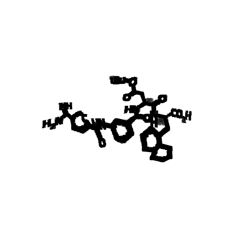 CC(C)(C)OC(=O)C[C@H](NC(=O)c1cccc(NC(=O)c2ccc(C(=N)N)cc2)c1)C(=O)N[C@@H](Cc1cccc2ccccc12)C(=O)O